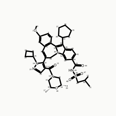 COc1ccc2c(c1)C=C(c1c(C(=O)N3C[C@@H](C)O[C@@H](C)C3)cnn1C1CCC1)Cn1c-2c(C2CCCCC2)c2ccc(C(=O)NS(=O)(=O)CC(C)C)cc21